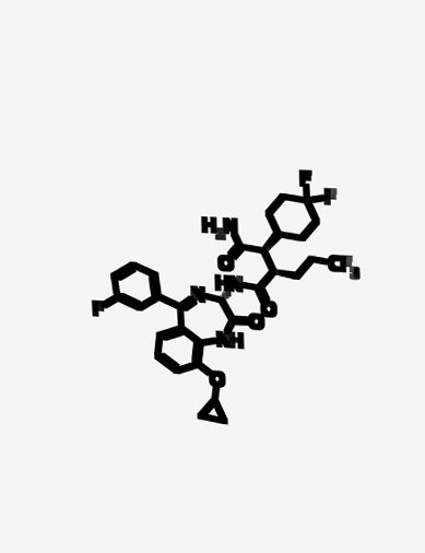 NC(=O)[C@@H](C1CCC(F)(F)CC1)[C@@H](CCC(F)(F)F)C(=O)N[C@H]1N=C(c2cccc(F)c2)c2cccc(OC3CC3)c2NC1=O